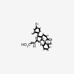 Cc1cc(F)ccc1-c1nc(NCC(=O)O)nc2c1ccc(=O)n2-c1c(F)cccc1F